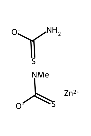 CNC([O-])=S.NC([O-])=S.[Zn+2]